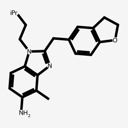 Cc1c(N)ccc2c1nc(Cc1ccc3c(c1)CCO3)n2CCC(C)C